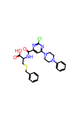 O=C(NC(CSCc1ccccc1)C(=O)O)c1cc(N2CCN(c3ccccc3)CC2)nc(Cl)n1